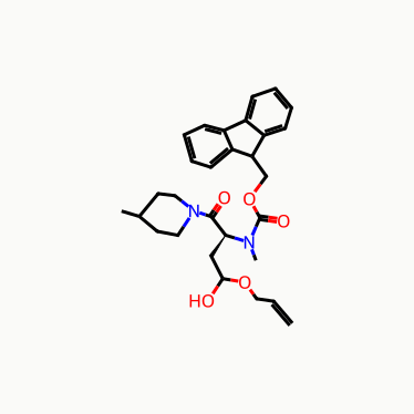 C=CCOC(O)C[C@@H](C(=O)N1CCC(C)CC1)N(C)C(=O)OCC1c2ccccc2-c2ccccc21